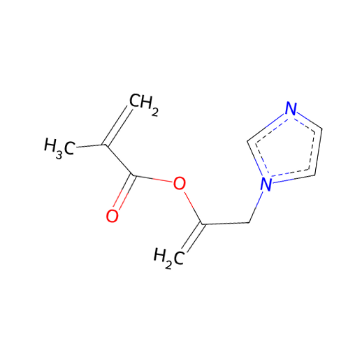 C=C(Cn1ccnc1)OC(=O)C(=C)C